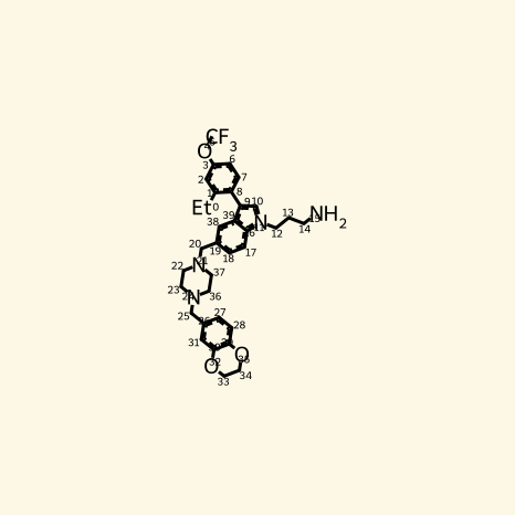 CCc1cc(OC(F)(F)F)ccc1-c1cn(CCCN)c2ccc(CN3CCN(Cc4ccc5c(c4)OCCO5)CC3)cc12